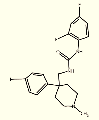 CN1CCC(CNC(=O)Nc2ccc(F)cc2F)(c2ccc(I)cc2)CC1